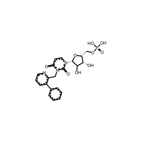 O=c1ccn([C@@H]2O[C@H](COP(=O)(O)O)[C@H](O)C2O)c(=O)n1Cc1ncccc1-c1ccccc1